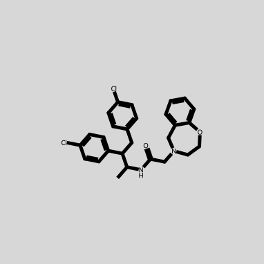 CC(NC(=O)CN1CCOc2ccccc2C1)C(Cc1ccc(Cl)cc1)c1ccc(Cl)cc1